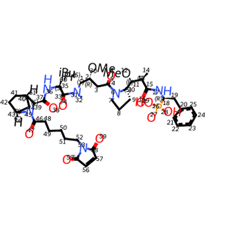 CC[C@H](C)[C@@H]([C@@H](CC(=O)N1CCC[C@H]1[C@H](OC)[C@@H](C)C(=O)N[C@@H](Cc1ccccc1)P(=O)(O)O)OC)N(C)C(=O)[C@@H](NC(=O)[C@@H]1[C@H]2CC[C@H](C2)N1C(=O)CCCCCN1C(=O)C=CC1=O)C(C)C